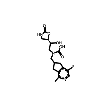 Cc1ncc(F)c2c1CC(CN(CC(O)[C@H]1CNC(=O)O1)C(=O)O)C2